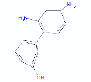 Nc1ccc(-c2cccc(O)c2)c(N)c1